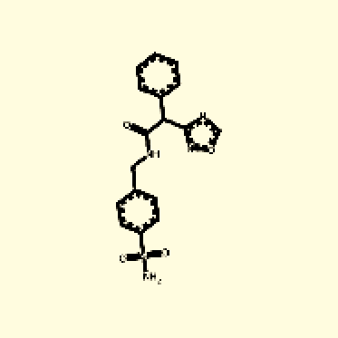 NS(=O)(=O)c1ccc(CNC(=O)C(c2ccccc2)c2ncon2)cc1